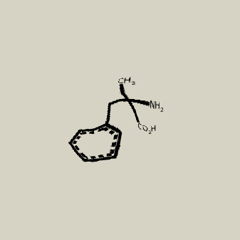 CC(N)(Cc1ccccc1)C(=O)O